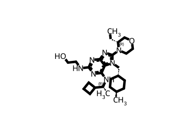 CC[C@@H]1COCCN1c1nc2nc(NCCO)nc(N[C@H](C)C3CCC3)c2n1C[C@H]1CC[C@H](C)CC1